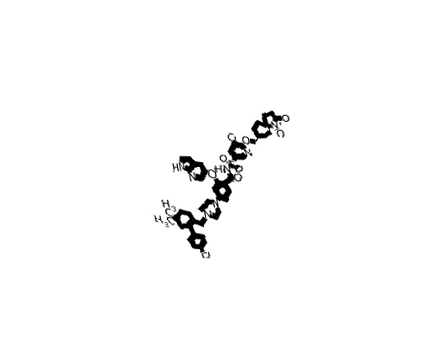 CC1(C)CCC(CN2CCN(c3ccc(C(=O)NS(=O)(=O)c4cnc(OC[C@H]5CC[C@@]6(CCC(=O)[N+]6=O)CC5)c(Cl)c4)c(Oc4cnc5[nH]ccc5c4)c3)CC2)=C(c2ccc(Cl)cc2)C1